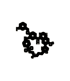 COc1cc2ncnc(Nc3ccc(OCc4cccc(F)c4)c(Br)c3)c2cc1-c1csc(CCCN(C)CCS(=O)(=O)c2ccccc2)n1